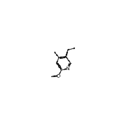 CCc1[c]nc(OC)cc1C